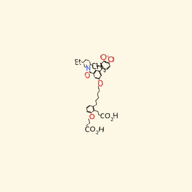 CCC1CCC(C)N(C(=O)c2cc(OCCCCCCc3cccc(OCCCC(=O)O)c3CCC(=O)O)cc(-c3ccc4c(c3)OCO4)c2)C1